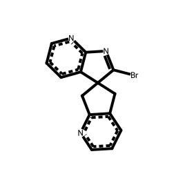 BrC1=Nc2ncccc2C12Cc1cccnc1C2